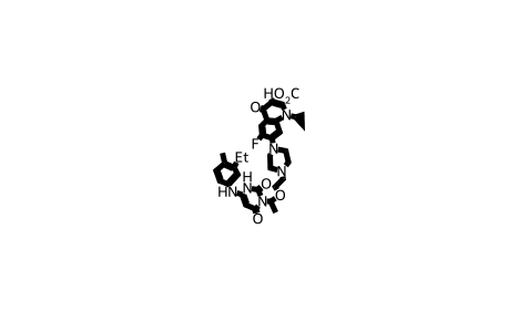 CCc1cc(Nc2cc(=O)n(C(C)OCCN3CCN(c4cc5c(cc4F)c(=O)c(C(=O)O)cn5C4CC4)CC3)c(=O)[nH]2)ccc1C